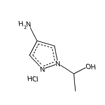 CC(O)n1cc(N)cn1.Cl